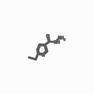 CCc1ccc(C(=O)NN)cn1